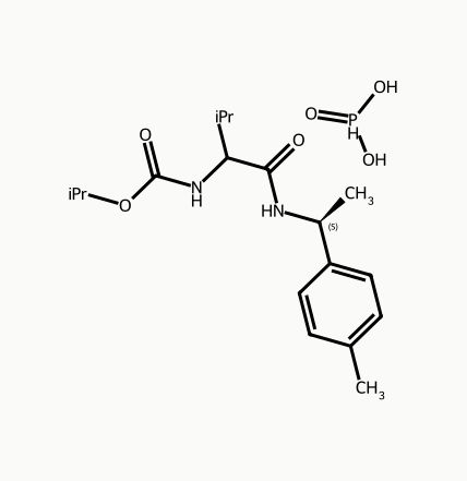 Cc1ccc([C@H](C)NC(=O)C(NC(=O)OC(C)C)C(C)C)cc1.O=[PH](O)O